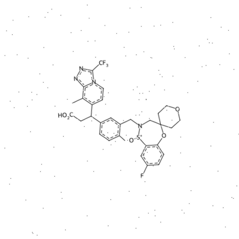 Cc1ccc(C(CC(=O)O)c2ccn3c(C(F)(F)F)nnc3c2C)cc1CN1CC2(CCOCC2)Oc2ccc(F)cc2[S+]1[O-]